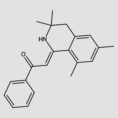 Cc1cc(C)c2c(c1)CC(C)(C)NC2=CC(=O)c1ccccc1